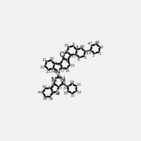 c1ccc(-c2ccc3c(ccc4oc5c(ccc6c5c5ccccc5n6-c5nc(-c6ccccc6)c6sc7ccccc7c6n5)c43)c2)cc1